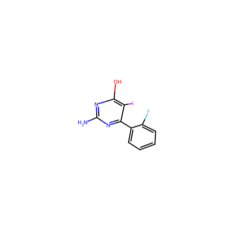 Nc1nc(O)c(I)c(-c2ccccc2F)n1